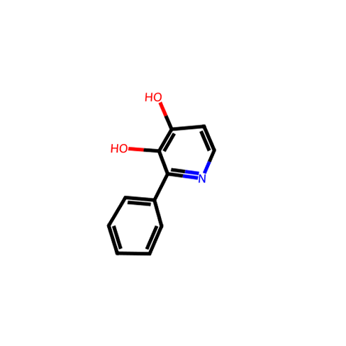 Oc1ccnc(-c2ccccc2)c1O